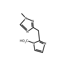 Cn1cnc(Cc2nccn2C(=O)O)n1